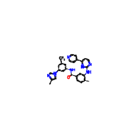 Cc1cn(-c2cc(NC(=O)c3ccc(C)c(Nc4nccc(-c5ccncc5)n4)c3)cc(C(F)(F)F)c2)cn1